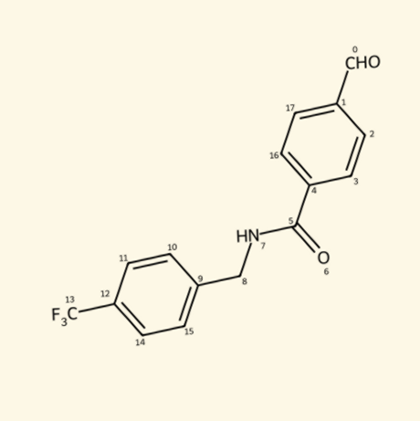 O=Cc1ccc(C(=O)NCc2ccc(C(F)(F)F)cc2)cc1